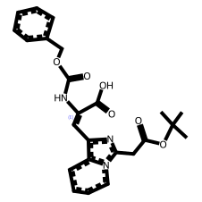 CC(C)(C)OC(=O)Cc1nc(/C=C(/NC(=O)OCc2ccccc2)C(=O)O)c2ccccn12